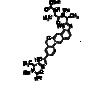 CCCC(=O)N([C@@H](C)CC)[C@@H](C)c1ncc(-c2ccc3c(c2)COc2cc4c(ccc5nc([C@H](C)N(C(=O)[C@H](C)NC(=O)OC)[C@@H](C)CC)[nH]c54)cc2-3)[nH]1